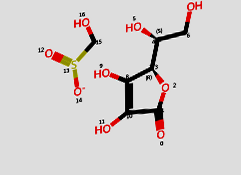 O=C1O[C@H]([C@@H](O)CO)C(O)=C1O.O=S([O-])CO.[Na+]